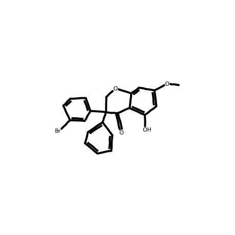 COc1cc(O)c2c(c1)OCC(c1ccccc1)(c1cccc(Br)c1)C2=O